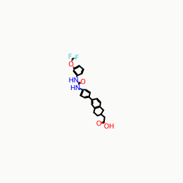 O=C(O)CC1CCc2cc(-c3ccc(NC(=O)Nc4cccc(OC(F)F)c4)cc3)ccc2C1